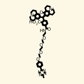 Cc1nnc(-c2ccc(OCCOCCOCCOCCNC(=O)c3ccc(C4=c5cc6c7c(c5Oc5c4cc4c8c5CCCN8CCC4)CCC[N+]=7CCC6)c(C(=O)O)c3)cc2)nn1